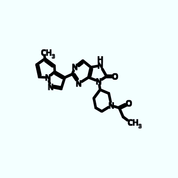 CCC(=O)N1CCCC(n2c(=O)[nH]c3cnc(-c4cnn5ccc(C)cc45)nc32)C1